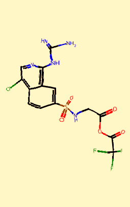 N=C(N)Nc1ncc(Cl)c2ccc(S(=O)(=O)NCC(=O)OC(=O)C(F)(F)F)cc12